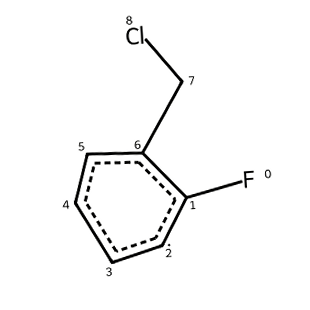 Fc1[c]cccc1CCl